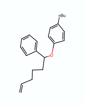 C=CCCCC(Oc1ccc(CCCC)cc1)c1ccccc1